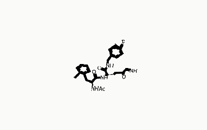 CC(=O)N[C@@H](Cc1ccccc1C)C(=O)N[C@@H](CCC(=O)C=N)C(=O)NCc1ccc(F)cc1